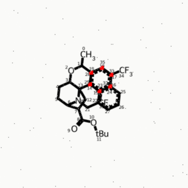 CC(OC1CCC2C(C(=O)OC(C)(C)C)CC1(c1ccccc1)N2Cc1ccccc1)c1cc(C(F)(F)F)cc(C(F)(F)F)c1